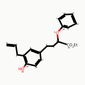 C=CCc1cc(CCC(Oc2ccccc2)C(=O)OCC)ccc1O